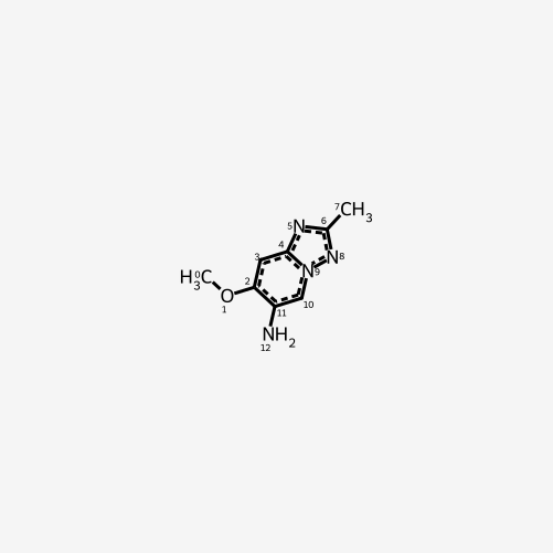 COc1cc2nc(C)nn2cc1N